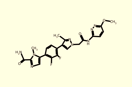 COc1ccc(NC(=O)Cn2cc(-c3ccc(-c4cnc(C(N)=O)n4C)c(F)c3F)c(C)n2)nn1